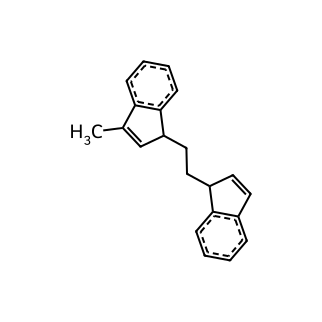 CC1=CC(CCC2C=Cc3ccccc32)c2ccccc21